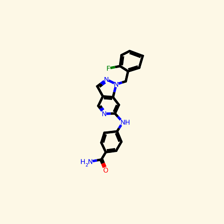 NC(=O)c1ccc(Nc2cc3c(cn2)cnn3Cc2ccccc2F)cc1